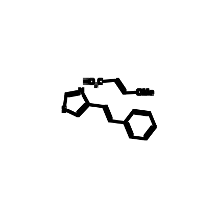 C(=Cc1cscn1)c1ccccc1.COC=CC(=O)O